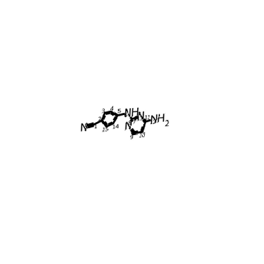 N#Cc1ccc(Nc2nccc(N)n2)cc1